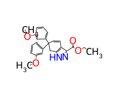 CCOC(=O)c1n[nH]c2c1C=CC(c1cccc(OC)c1)(c1cccc(OC)c1)C2